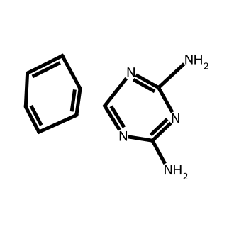 Nc1ncnc(N)n1.c1ccccc1